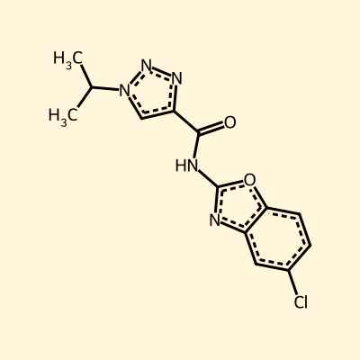 CC(C)n1cc(C(=O)Nc2nc3cc(Cl)ccc3o2)nn1